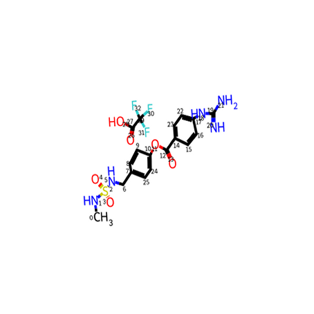 CNS(=O)(=O)NCc1ccc(OC(=O)c2ccc(NC(=N)N)cc2)cc1.O=C(O)C(F)(F)F